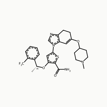 C[C@@H](Oc1cc(-n2cnc3c2C=C(OC2CCN(C)CC2)CC3)sc1C(N)=O)c1ccccc1C(F)(F)F